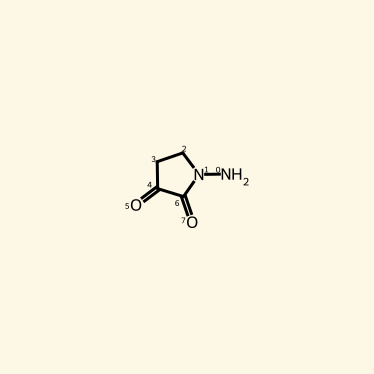 NN1CCC(=O)C1=O